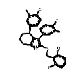 Cc1cc(-n2c(SCc3c(F)cccc3Cl)nc3c2C(c2ccc(Cl)c(C)c2)CCC3)ccc1F